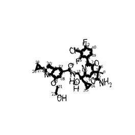 C[C@]1(C(N)=O)COc2c1cc([C@@](O)(CNC(=O)c1cc(OCCO)c3nn(C4CC4)cc3c1)C1CC1)nc2-c1ccc(F)c(Cl)c1F